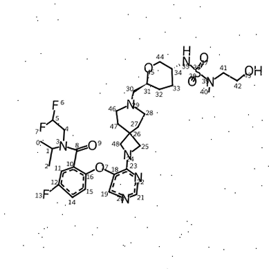 CC(C)N(CC(F)F)C(=O)c1cc(F)ccc1Oc1cncnc1N1CC2(CCN(C[C@@H]3CC[C@@H](NS(=O)(=O)N(C)CCO)CO3)CC2)C1